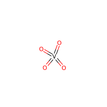 [O]=[V](=[O])(=[O])=[O]